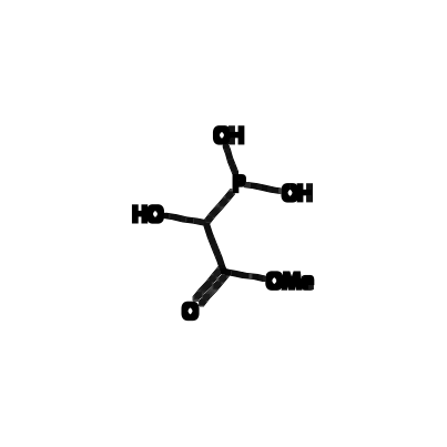 COC(=O)C(O)P(O)O